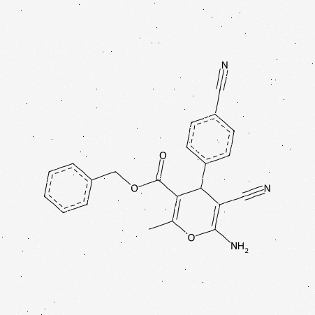 CC1=C(C(=O)OCc2ccccc2)C(c2ccc(C#N)cc2)C(C#N)=C(N)O1